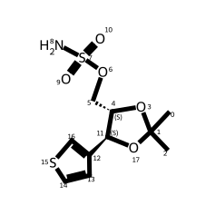 CC1(C)O[C@@H](COS(N)(=O)=O)[C@H](c2ccsc2)O1